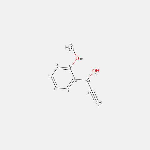 C#CC(O)c1ccccc1OC